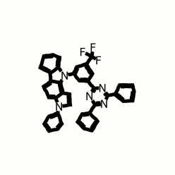 FC(F)(F)c1cc(-c2nc(-c3ccccc3)nc(-c3ccccc3)n2)cc(-n2c3ccccc3c3ccc4c(ccn4-c4ccccc4)c32)c1